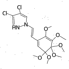 COC1=C(OC)C(OC)(OC)C(OC)(OC)C=C1/C=C/N1C=C(Cl)C(Cl)=CN1